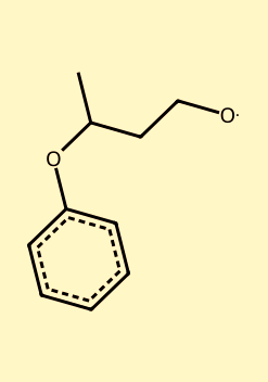 CC(CC[O])Oc1ccccc1